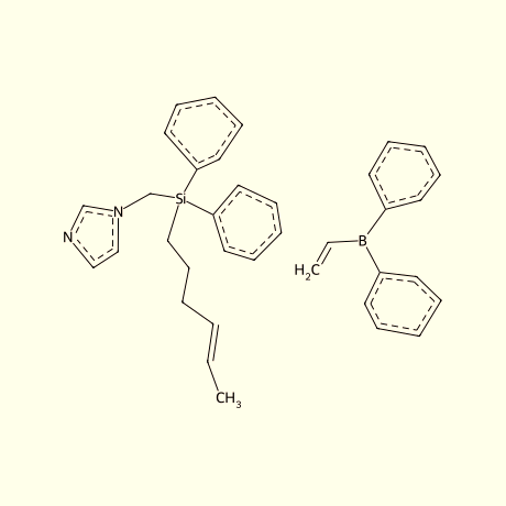 C=CB(c1ccccc1)c1ccccc1.CC=CCCC[Si](Cn1ccnc1)(c1ccccc1)c1ccccc1